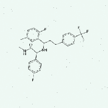 CNC(=O)C(NC(CCc1ccc(C(F)(F)F)cc1)c1cc(C)ccc1F)c1ccc(F)cc1